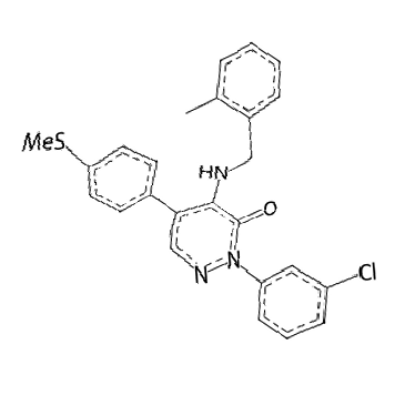 CSc1ccc(-c2cnn(-c3cccc(Cl)c3)c(=O)c2NCc2ccccc2C)cc1